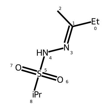 CCC(C)=NNS(=O)(=O)C(C)C